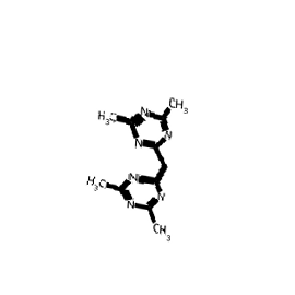 Cc1nc(C)nc(Cc2nc(C)nc(C)n2)n1